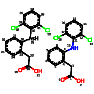 O=C(O)Cc1ccccc1Nc1c(Cl)cccc1Cl.O=C(O)Cc1ccccc1[AsH]c1c(Cl)cccc1Cl